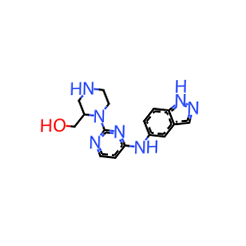 OCC1CNCCN1c1nccc(Nc2ccc3[nH]ncc3c2)n1